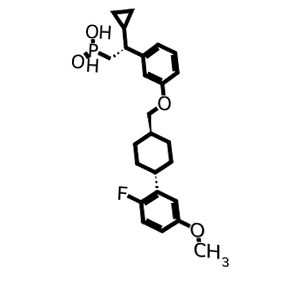 COc1ccc(F)c([C@H]2CC[C@H](COc3cccc([C@H](C[PH](=O)O)C4CC4)c3)CC2)c1